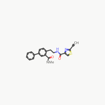 C#Cc1nc(C(=O)NCCc2ccc(-c3ccccc3)cc2C(=O)NC)cs1